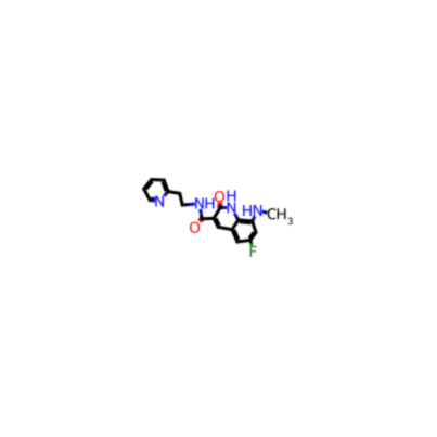 CNc1cc(F)cc2cc(C(=O)NCCc3ccccn3)c(=O)[nH]c12